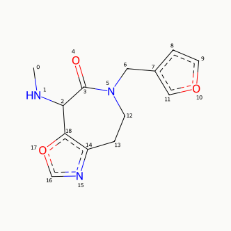 CNC1C(=O)N(Cc2ccoc2)CCc2ncoc21